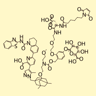 COCCN(CCOC12CC3(C)CC(C)(CC(Cn4ncc(-c5ccc(-c6ccc7c(c6)N(C(=O)Nc6nc8ccccc8s6)CCC7)nc5C(=O)O)c4C)(C3)C1)C2)C(=O)OCc1ccc(O[C@@H]2O[C@H](C(=O)O)[C@@H](O)[C@H](O)[C@H]2O)cc1OCCOCCNC(=O)[C@H](CS(=O)(=O)O)NC(=O)CCCCCN1C(=O)C=CC1=O